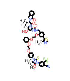 Cc1ncsc1-c1ccc(CNC(=O)[C@@H]2C[C@@H](O)CN2C(=O)[C@H](C(C)C)N2Cc3ccccc3C2=O)c(OCCOC2CCCCC2OCCOc2ccc(N3C(=S)N(c4ccc(C#N)c(C(F)(F)F)c4)C(=O)C3(C)C)cc2)c1